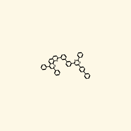 c1ccc(-c2ccc(-c3cc(-c4cccc(-c5cccc(-c6ccc7ccc8c(-c9ccccc9)cc(-c9ccccc9)nc8c7n6)c5)c4)nc(-c4ccccc4)n3)cc2)cc1